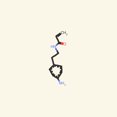 C=CC(=O)NCCc1ccc(N)cc1